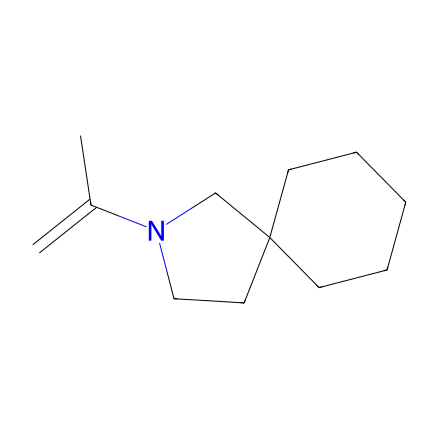 C=C(C)N1CCC2(CCCCC2)C1